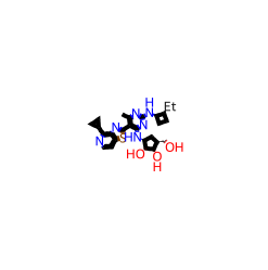 CC[C@@H]1CC[C@H]1Nc1nc(C)c(-c2nc3c(C4CC4)nccc3s2)c(N[C@@H]2C[C@H](CO)[C@@H](O)[C@H]2O)n1